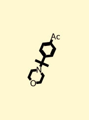 CC(=O)c1ccc(C(C)(C)N2CCOCC2)cc1